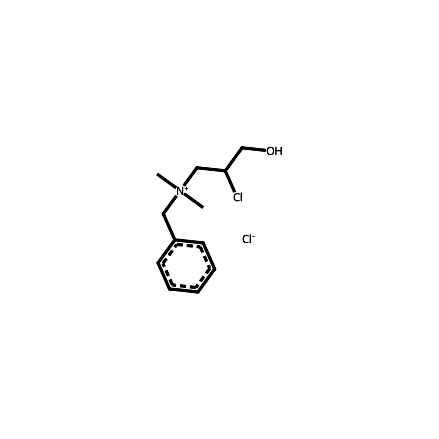 C[N+](C)(Cc1ccccc1)CC(Cl)CO.[Cl-]